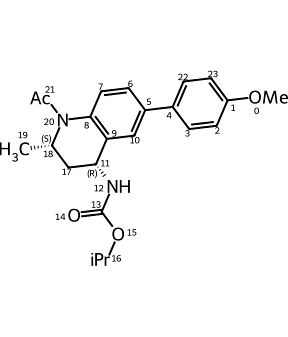 COc1ccc(-c2ccc3c(c2)[C@H](NC(=O)OC(C)C)C[C@H](C)N3C(C)=O)cc1